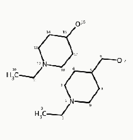 CCN1CCC(C[O])CC1.CCN1CCC([O])CC1